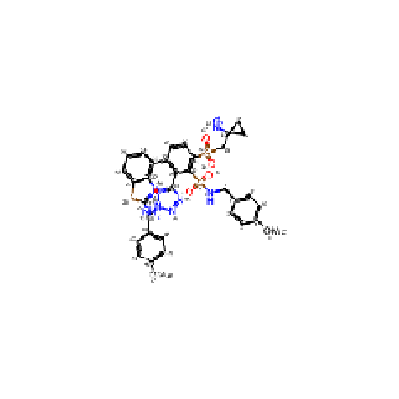 COc1ccc(CNS(=O)(=O)c2c(S(=O)(=O)CC3(N)CC3)ccc(-c3cccc4sc(N)nc34)c2-c2nnn(Cc3ccc(OC)cc3)n2)cc1